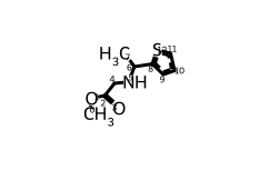 COC(=O)CNC(C)c1cccs1